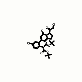 CC(C)(C)OC(=O)N(C(=O)OC(C)(C)C)c1ccc(Cl)cc1C1=CC(=O)C2C(=C1)CCC2C(=O)CCl